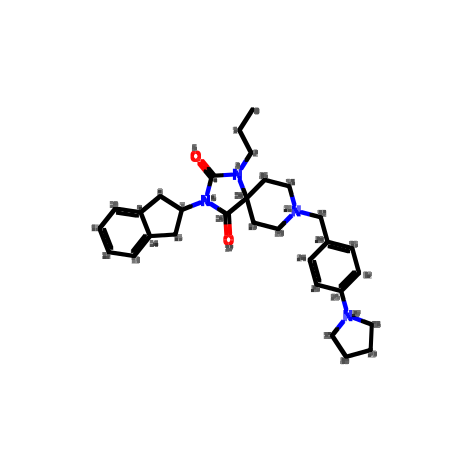 CCCN1C(=O)N(C2Cc3ccccc3C2)C(=O)C12CCN(Cc1ccc(N3CCCC3)cc1)CC2